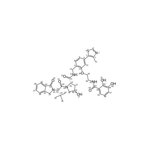 Cc1ncsc1-c1ccc(CNC(=O)[C@@H]2C[C@@H](O)CN2C(=O)[C@@H](N2Cc3ccccc3C2=O)C(C)(C)C)c(OCCNC(=O)c2cccc(O)c2O)c1